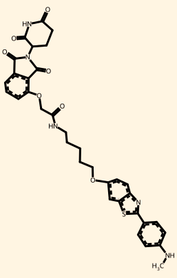 CNc1ccc(-c2nc3ccc(OCCCCCNC(=O)COc4cccc5c4C(=O)N(C4CCC(=O)NC4=O)C5=O)cc3s2)cc1